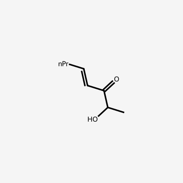 CCC/C=C/C(=O)C(C)O